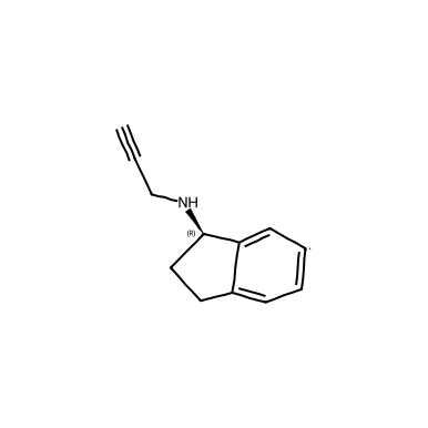 C#CCN[C@@H]1CCc2cc[c]cc21